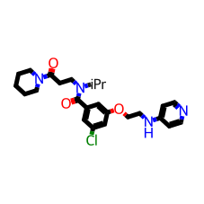 CC(C)N(CCC(=O)N1CCCCC1)C(=O)c1cc(Cl)cc(OCCNc2ccncc2)c1